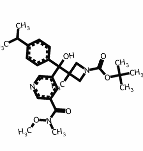 CON(C)C(=O)c1cncc(C(O)(c2ccc(C(C)C)cc2)C2(C)CN(C(=O)OC(C)(C)C)C2)c1